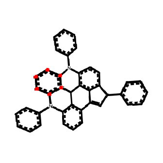 C1=C2c3cccc4c3C3(c5c(ccc(c52)C1c1ccccc1)N(c1ccccc1)c1cccc[n+]13)[n+]1ccccc1N4c1ccccc1